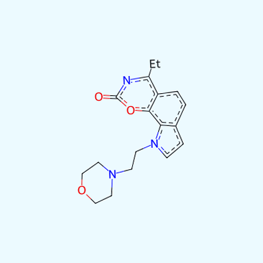 CCc1nc(=O)oc2c1ccc1ccn(CCN3CCOCC3)c12